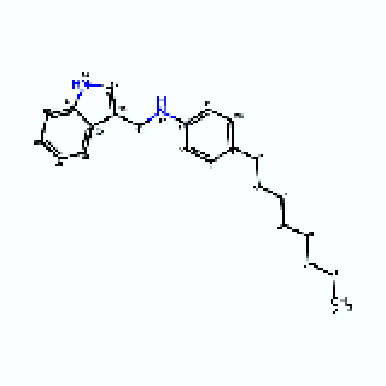 CCCCCCCCc1ccc(NCc2c[nH]c3ccccc23)cc1